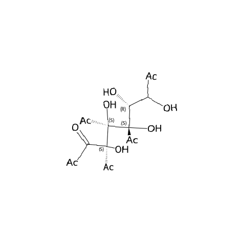 CC(=O)C(=O)[C@@](O)(C(C)=O)[C@](O)(C(C)=O)[C@](O)(C(C)=O)[C@H](O)C(O)C(C)=O